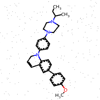 CCC(C)N1CCN(c2ccc(N3CC=Cc4cc(-c5ccc(OC)cc5)ccc43)cc2)CC1